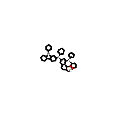 c1ccc(N(c2cc(N(c3ccccc3)c3ccccc3)c3c(ccc4ccccc43)c2)c2ccc3c4ccccc4n(-c4ccccc4)c3c2)cc1